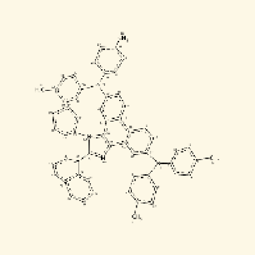 Cc1ccc(N(c2ccc(C)cc2)c2ccc3c4ccc(N(c5ccc(C)cc5)c5ccc(C)cc5)cc4c4c(nc(-c5cccc6ccccc56)n4-c4ccccc4)c3c2)cc1